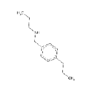 CCCNCc1ccc(CCC)cc1